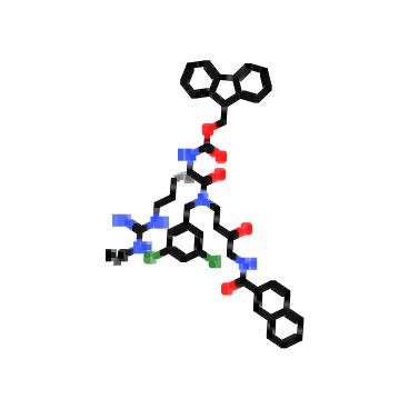 CNC(=N)NCCC[C@H](NC(=O)OCC1c2ccccc2-c2ccccc21)C(=O)N(CCC(=O)CNC(=O)c1ccc2ccccc2c1)Cc1cc(Cl)cc(Cl)c1